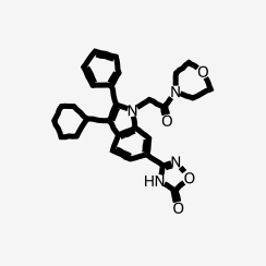 O=C(Cn1c(-c2ccccc2)c(C2CCCCC2)c2ccc(-c3noc(=O)[nH]3)cc21)N1CCOCC1